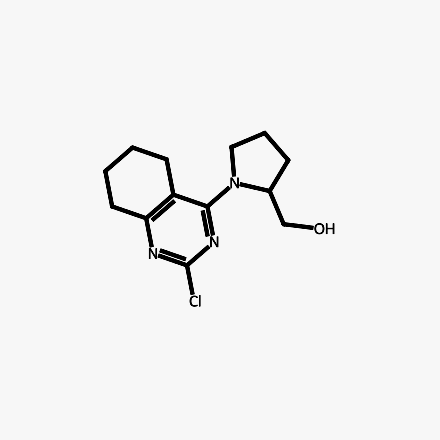 OCC1CCCN1c1nc(Cl)nc2c1CCCC2